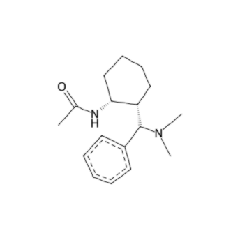 CC(=O)N[C@@H]1CCCC[C@@H]1C(c1ccccc1)N(C)C